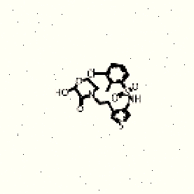 Cc1c(Cl)cccc1S(=O)(=O)Nc1cscc1CCN1CCOC(O)C1=O